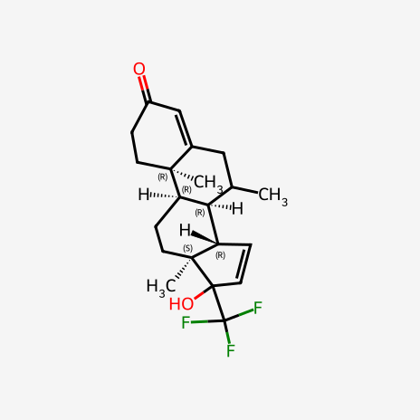 CC1CC2=CC(=O)CC[C@]2(C)[C@@H]2CC[C@@]3(C)[C@@H](C=CC3(O)C(F)(F)F)[C@H]12